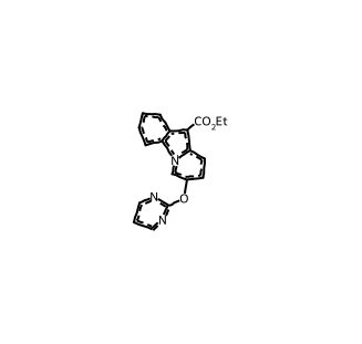 CCOC(=O)c1c2ccccc2n2cc(Oc3ncccn3)ccc12